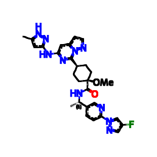 CO[C@]1(C(=O)N[C@@H](C)c2ccc(-n3cc(F)cn3)nc2)CC[C@H](c2nc(Nc3cc(C)[nH]n3)cc3ccnn32)CC1